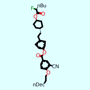 CCCCCCCCCCCCOc1ccc(C(=O)Oc2ccc(CC[C@H]3CC[C@H](OC(=O)[C@H](F)CCCC)CC3)cc2)cc1C#N